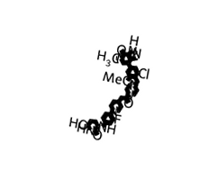 COc1cc(-c2cn(C)c(=O)c3[nH]ncc23)cc(Cl)c1CN1CCN(C(=O)CC2CCN(c3ccc(NC4CCC(O)NC4=O)cc3F)CC2)CC1